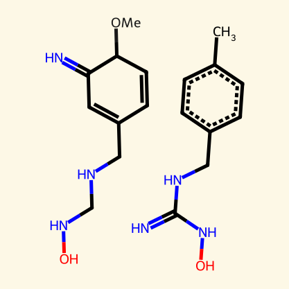 COC1C=CC(CNCNO)=CC1=N.Cc1ccc(CNC(=N)NO)cc1